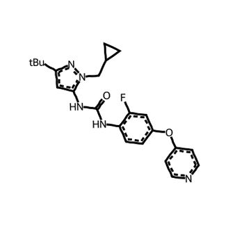 CC(C)(C)c1cc(NC(=O)Nc2ccc(Oc3ccncc3)cc2F)n(CC2CC2)n1